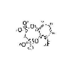 O=S1(=O)CS(=O)(=O)Oc2c(F)cccc2O1